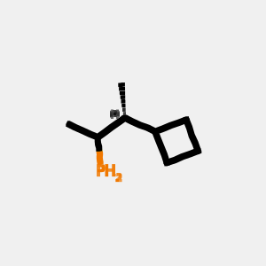 CC(P)[C@H](C)C1CCC1